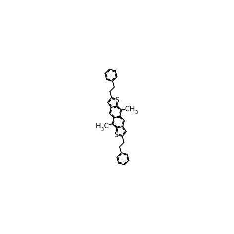 Cc1c2cc3cc(CCc4ccccc4)sc3c(C)c2cc2cc(CCc3ccccc3)sc12